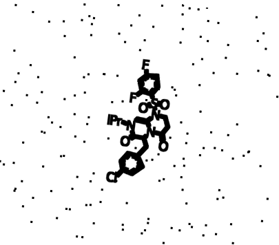 CC(C)N1C=C2N(C(=O)CCN2S(=O)(=O)c2ccc(F)cc2F)C(Cc2ccc(Cl)cc2)C1=O